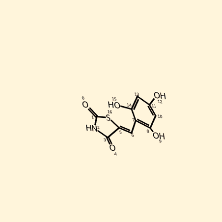 O=C1NC(=O)C(=Cc2c(O)cc(O)cc2O)S1